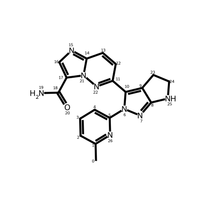 Cc1cccc(-n2nc3c(c2-c2ccc4ncc(C(N)=O)n4n2)CCN3)n1